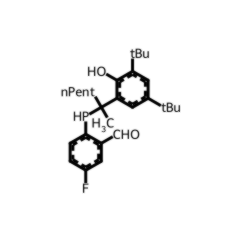 CCCCCC(C)(Pc1ccc(F)cc1C=O)c1cc(C(C)(C)C)cc(C(C)(C)C)c1O